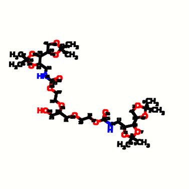 CC1(C)OCC(C2OC(C)(C)OC2CNC(=O)OCCOCC(CO)OCCOC(=O)NCC2OC(C)(C)OC2C2COC(C)(C)O2)O1